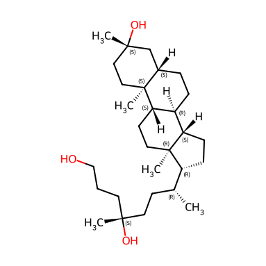 C[C@H](CC[C@](C)(O)CCCO)[C@H]1CC[C@H]2[C@@H]3CC[C@H]4C[C@@](C)(O)CC[C@]4(C)[C@H]3CC[C@]12C